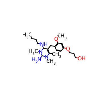 CCCCNC1C(Cc2ccc(OCCCO)cc2OC)=C(C)N(C)C(N)N1C